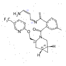 C=C(/N=C\C=C/N)c1ccc(C)cc1C(=O)N1C[C@@H]2C[C@@H]2C[C@H]1COc1ccc(C(F)(F)F)cn1